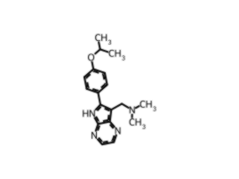 CC(C)Oc1ccc(-c2[nH]c3nccnc3c2CN(C)C)cc1